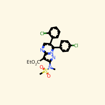 CCOC(=O)c1c(N(C)S(C)(=O)=O)nn2c(-c3ccc(Cl)cc3)c(-c3ccccc3Cl)cnc12